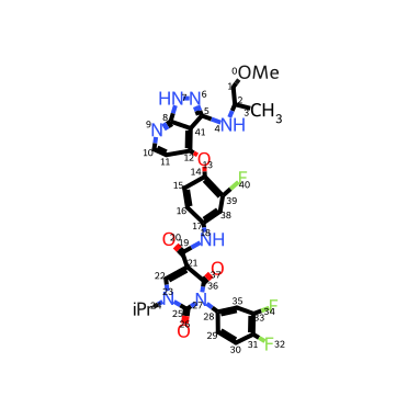 COCC(C)Nc1n[nH]c2nccc(Oc3ccc(NC(=O)c4cn(C(C)C)c(=O)n(-c5ccc(F)c(F)c5)c4=O)cc3F)c12